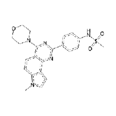 Cn1ccc2c3nc(-c4ccc(NS(C)(=O)=O)cc4)nc(N4CCOCC4)c3ccc21